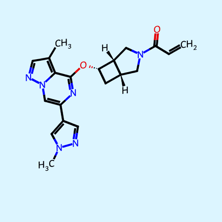 C=CC(=O)N1C[C@@H]2C[C@H](Oc3nc(-c4cnn(C)c4)cn4ncc(C)c34)[C@@H]2C1